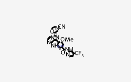 C=C(/C=C\C(=C/COC)C(=O)Nc1cc(C(F)(F)F)ccn1)c1nc([C@H]2CN(C#N)CCO2)n2ccnc(N)c12